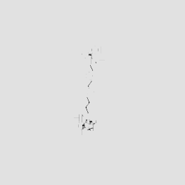 O=C(O)NCCOCCOCCCCNS(=O)(=O)C(F)(F)F